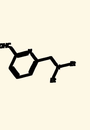 CCN(CC)Cc1cccc(C=O)n1